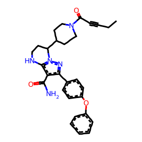 CCC#CC(=O)N1CCC(C2CCNc3c(C(N)=O)c(-c4ccc(Oc5ccccc5)cc4)nn32)CC1